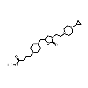 COC(=O)CCCN1CCN(CC2CN(CCN3CCN(C4CC4)CC3)C(=O)O2)CC1